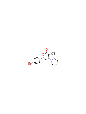 N#Cc1c(N2CCCCC2)cc(-c2ccc(Br)cc2)oc1=O